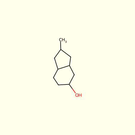 CC1CC2CCC(O)CC2C1